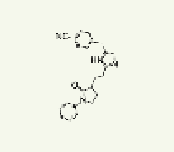 N#Cc1ccc(Cc2cnc(CCC3CCN(c4ccccc4)C3=O)[nH]2)cc1